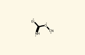 CCC(=N)OC#N